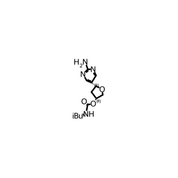 CC[C@H](C)NC(=O)O[C@H]1CO[C@@H](c2cnc(N)nc2)C1